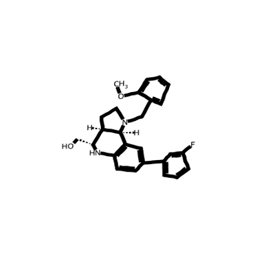 COc1ccccc1CN1CC[C@@H]2[C@@H](CO)Nc3ccc(-c4cccc(F)c4)cc3[C@@H]21